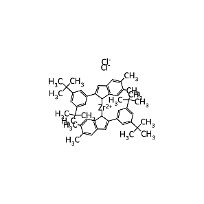 Cc1cc2c(cc1C)[CH]([Zr+2][CH]1C(c3cc(C(C)(C)C)cc(C(C)(C)C)c3)=Cc3cc(C)c(C)cc31)C(c1cc(C(C)(C)C)cc(C(C)(C)C)c1)=C2.[Cl-].[Cl-]